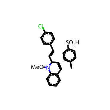 CON1c2ccccc2C=CC1C=Cc1ccc(Cl)cc1.Cc1ccc(S(=O)(=O)O)cc1